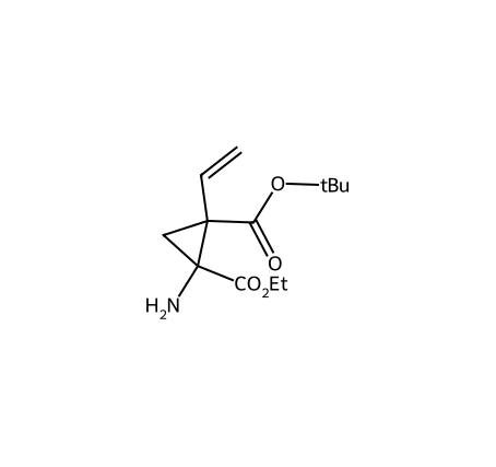 C=CC1(C(=O)OC(C)(C)C)CC1(N)C(=O)OCC